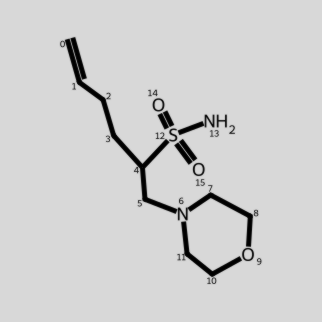 C=CCCC(CN1CCOCC1)S(N)(=O)=O